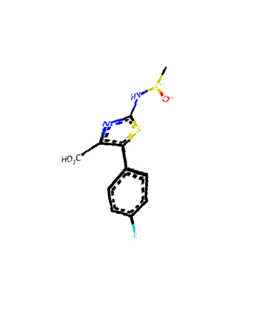 C[S+]([O-])Nc1nc(C(=O)O)c(-c2ccc(F)cc2)s1